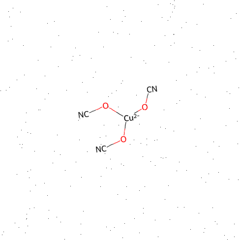 N#C[O][Cu-2]([O]C#N)[O]C#N